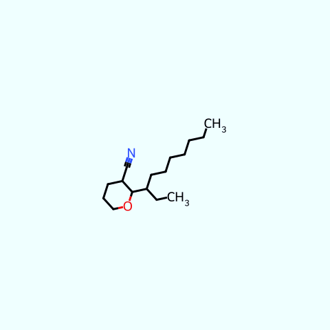 CCCCCCCC(CC)C1OCCCC1C#N